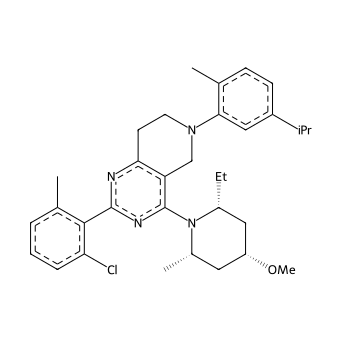 CC[C@@H]1C[C@H](OC)C[C@H](C)N1c1nc(-c2c(C)cccc2Cl)nc2c1CN(c1cc(C(C)C)ccc1C)CC2